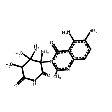 Bc1ccc2nc(C)n(C3(B)C(=O)NC(=O)C(B)C3(B)B)c(=O)c2c1N